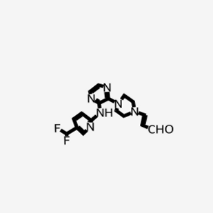 O=CC=CN1CCN(c2nccnc2Nc2ccc(C(F)F)cn2)CC1